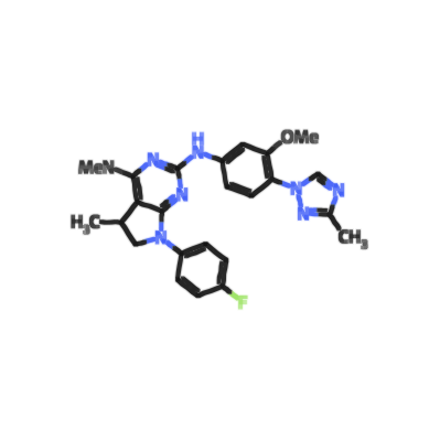 CNc1nc(Nc2ccc(-n3cnc(C)n3)c(OC)c2)nc2c1C(C)CN2c1ccc(F)cc1